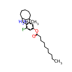 CCCCCCCCCC(=O)Oc1cc(F)c2c(c1)[C@@]1(C)CCCCCC(C2)[C@@H]1N